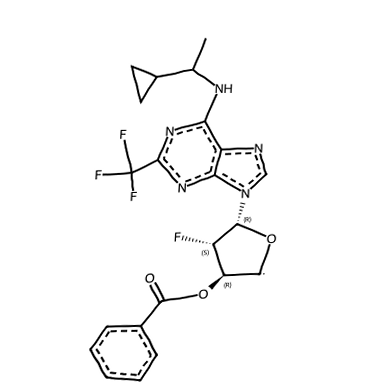 CC(Nc1nc(C(F)(F)F)nc2c1ncn2[C@@H]1O[CH][C@@H](OC(=O)c2ccccc2)[C@@H]1F)C1CC1